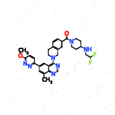 COc1ccc(-c2cc(C)c3ncnc(N4CCc5ccc(C(=O)N6CCC(NCC(F)F)CC6)cc5C4)c3c2)nn1